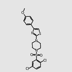 COc1ccc(-c2csc(N3CCN(S(=O)(=O)c4cc(Cl)ccc4Cl)CC3)n2)cc1